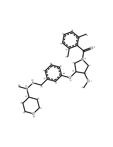 COC1CN(C(=O)c2c(C)cccc2C)CC1Oc1cccc(CSN(C)C2CCOCC2)c1